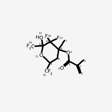 C=C(C)C(=O)OC1(C)CC(C(F)(F)F)OC(O)(C(F)(F)F)C1(F)F